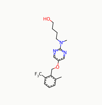 Cc1cccc(C(F)(F)F)c1COc1cnc(N(C)CCCCO)nc1